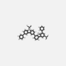 CC(C)c1cc(-c2ccccc2)c2sc3c(-c4ccc5c(c4)c4cc(-c6ccccc6)ccc4n5C(C)C)cccc3c2c1